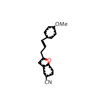 COc1ccc(C=CCc2cc3cc(C#N)ccc3o2)cc1